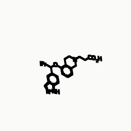 CC(C)C(Oc1cccc2c1CCN(CCC(=O)O)C2)c1ccc2[nH]ncc2c1